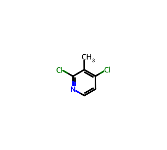 Cc1c(Cl)ccnc1Cl